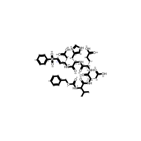 CC(C)C(NC(=O)OCc1ccccc1)C(=O)N[C@@H](CC(=O)O)C(=O)N[C@@H](CCC(=O)O)C(=O)N[C@@H](Cc1c[nH]cn1)C(=O)N[C@H](/C=C/S(=O)(=O)c1ccccc1)CC(=O)O